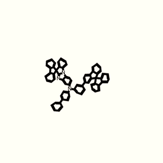 c1ccc(-c2ccc(N(c3cccc(-c4ccc5c(c4)C4(c6ccccc6-c6ccccc64)c4ccccc4-5)c3)c3ccc4c(c3)nc3n4-c4ccccc4C34c3ccccc3-c3ccccc34)cc2)cc1